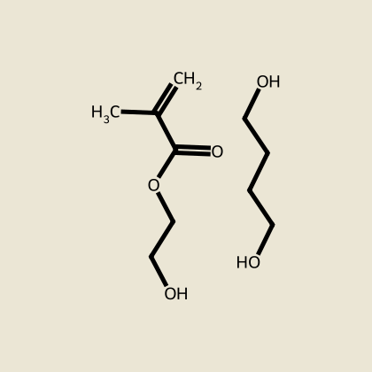 C=C(C)C(=O)OCCO.OCCCCO